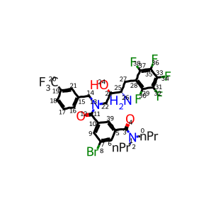 CCCN(CCC)C(=O)c1cc(Br)cc(C(=O)N(Cc2cccc(C(F)(F)F)c2)C[C@@H](O)[C@@H](N)Cc2c(F)c(F)c(F)c(F)c2F)c1